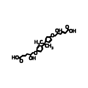 CC(C)(c1ccc(OCC(O)CC=CC(=O)O)cc1)c1ccc(OCC(O)CC=CC(=O)O)cc1